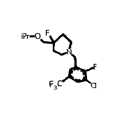 CC(C)OCC1(F)CCN(Cc2cc(C(F)(F)F)cc(Cl)c2F)CC1